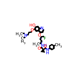 CCN(CC)CCCOc1cc2c(O/C(=C/C=C(\C)NC(=O)C3(C(=O)NC4=CC=C(C)CC4)CC3)CF)ccnc2cc1O